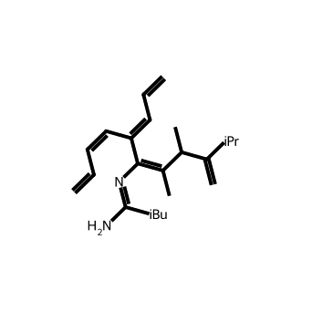 C=C\C=C/C(=C\C=C)C(/N=C(/N)C(C)CC)=C(/C)C(C)C(=C)C(C)C